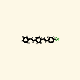 Brc1ccc(/C=C/c2ccc(/C=C/c3ccccc3)cc2)cc1